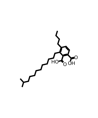 CCCCc1ccc(C(=O)O)c(C(=O)O)c1CCCCCCCCCCC(C)C